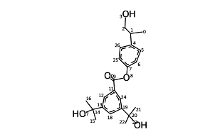 CC(CO)c1ccc(OC(=O)c2cc(C(C)(C)O)cc(C(C)(C)O)c2)cc1